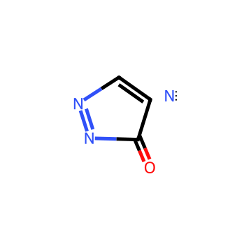 O=C1C=CN=N1.[N]